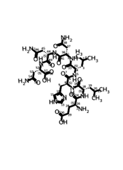 CC(C)C[C@H](NC(=O)[C@H](Cc1c[nH]cn1)NC(=O)[C@H](CC(C)C)NC(=O)[C@@H](N)CCC(=O)O)C(=O)N[C@@H](CC(N)=O)C(=O)N[C@@H](CC(N)=O)C(=O)N[C@@H](CC(N)=O)C(=O)O